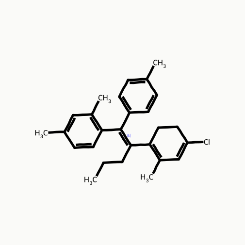 CCC/C(C1=C(C)C=C(Cl)CC1)=C(/c1ccc(C)cc1)c1ccc(C)cc1C